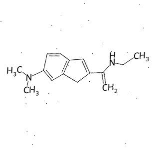 C=C(NCC)C1=Cc2ccc(N(C)C)cc2C1